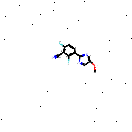 COc1cnc(-c2ccc(F)c(C#N)c2F)nc1